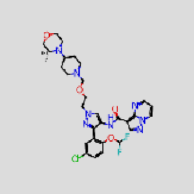 C[C@@H]1COCCN1C1CCN(COCCn2cc(NC(=O)c3cnn4cccnc34)c(-c3cc(Cl)ccc3OC(F)F)n2)CC1